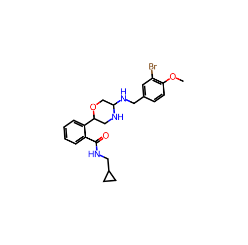 COc1ccc(CNC2COC(c3ccccc3C(=O)NCC3CC3)CN2)cc1Br